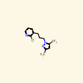 FC(F)(F)c1cc(C(F)(F)F)n(C[CH]Cc2cccnc2Cl)n1